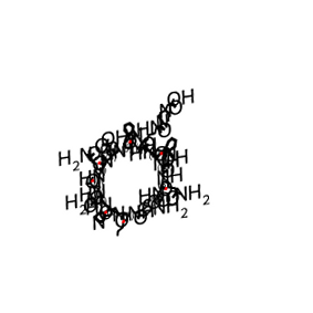 CCCCC[C@H]1NC(=O)CSC[C@@H](C(N)=O)NC(=O)[C@H](CCCC(N)=O)NC(=O)[C@H]([C@@H](C)O)NC(=O)[C@H](Cc2cn(C)c3ccccc23)NC(=O)[C@H](CCCCNC(=O)N2CCN(CC(=O)O)CC2)NC(=O)[C@H](Cc2cn(C)c3ccccc23)NC(=O)[C@H](CCC(=O)O)N(C)C(=O)[C@H](CCCC(N)=O)NC(=O)[C@H](CC(C)C)NC(=O)[C@H](CC(N)=O)NC(=O)[C@H](Cc2cccnc2)N(C)C1=O